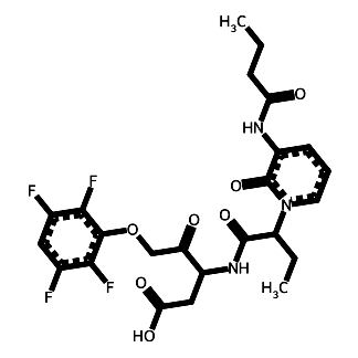 CCCC(=O)Nc1cccn(C(CC)C(=O)NC(CC(=O)O)C(=O)COc2c(F)c(F)cc(F)c2F)c1=O